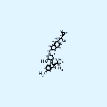 Cc1ccc2c(c1)nc(C(C)C)n2[C@@H]1CCN(C[C@H]2Cc3ccc(NC(=O)C4CC4)cc3C2)C[C@H]1O